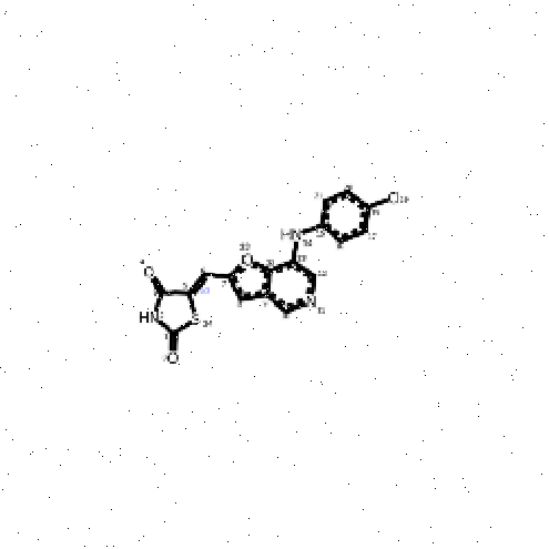 O=C1NC(=O)/C(=C/c2cc3cncc(Nc4ccc(Cl)cc4)c3o2)S1